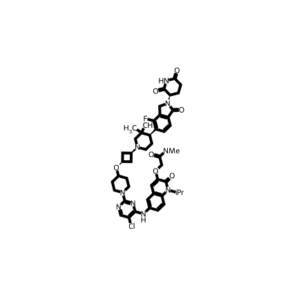 CNC(=O)COc1cc2cc(Nc3nc(N4CCC(O[C@H]5C[C@H](N6CC[C@H](c7ccc8c(c7F)CN([C@H]7CCC(=O)NC7=O)C8=O)C(C)(C)C6)C5)CC4)ncc3Cl)ccc2n(C(C)C)c1=O